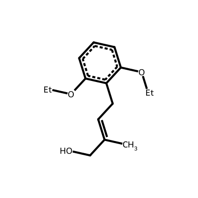 CCOc1cccc(OCC)c1C/C=C(\C)CO